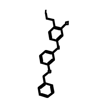 Clc1cc(Sc2cccc(OCc3ccccc3)c2)ccc1CCI